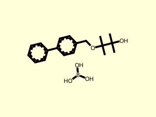 CC(C)(O)C(C)(C)OCc1ccc(-c2ccccc2)cc1.OB(O)O